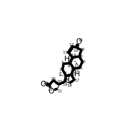 C[C@]12CC[C@H]3[C@@H](CCC4CC(=O)C=C[C@@]43C)[C@H]1CC[C@@H]2[C@@H]1COC(=O)C1